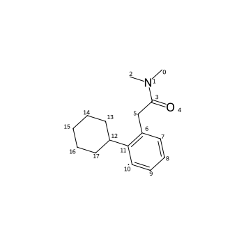 CN(C)C(=O)Cc1ccc[c]c1C1CCCCC1